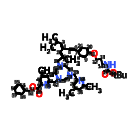 C=C(C)/C=C(C#Cc1ccc(OCCCNC(=O)OC(C)(C)C)cc1)\C=C(/C)CN1CCN(Cc2cc(C)cc(C)n2)CCN(Cc2cc(C)cc(C(=O)OCc3ccccc3)n2)CC1